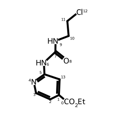 CCOC(=O)c1ccnc(NC(=O)NCCCl)c1